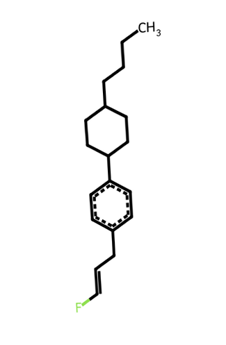 CCCCC1CCC(c2ccc(C/C=C/F)cc2)CC1